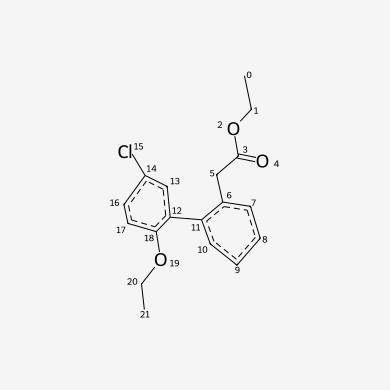 CCOC(=O)Cc1ccccc1-c1cc(Cl)ccc1OCC